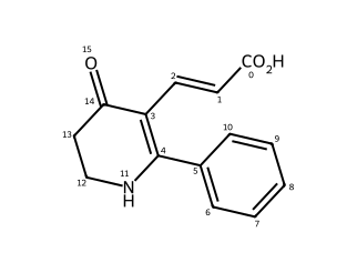 O=C(O)C=CC1=C(c2ccccc2)NCCC1=O